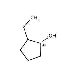 CCC1CCC[C@H]1O